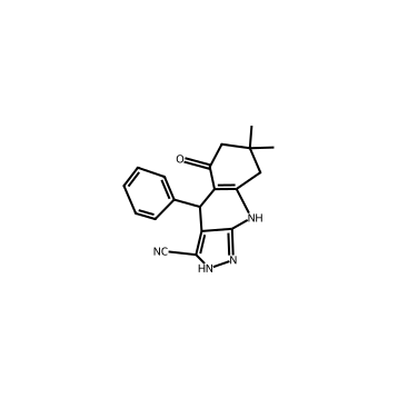 CC1(C)CC(=O)C2=C(C1)Nc1n[nH]c(C#N)c1C2c1ccccc1